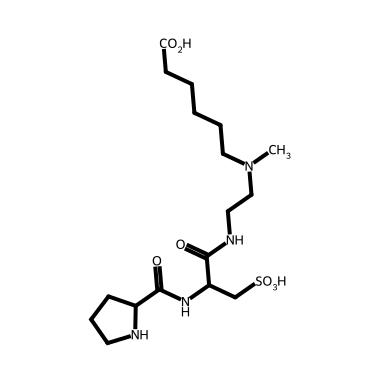 CN(CCCCCC(=O)O)CCNC(=O)C(CS(=O)(=O)O)NC(=O)C1CCCN1